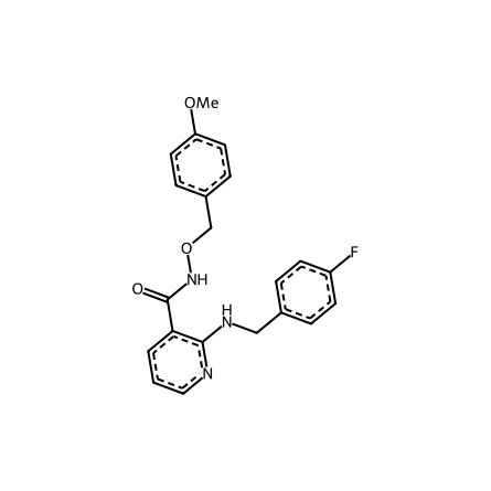 COc1ccc(CONC(=O)c2cccnc2NCc2ccc(F)cc2)cc1